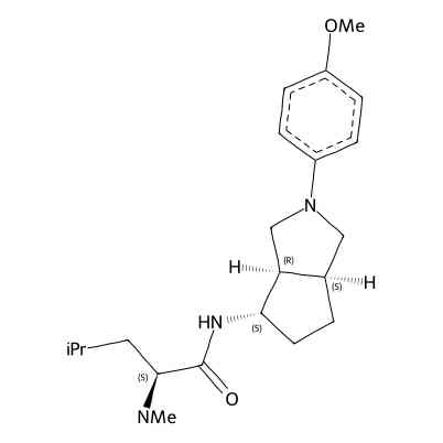 CN[C@@H](CC(C)C)C(=O)N[C@H]1CC[C@@H]2CN(c3ccc(OC)cc3)C[C@@H]21